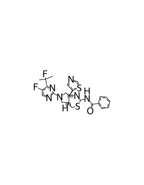 CC(C)(F)c1nc(N2C[C@H]3CSC(NC(=O)c4ccccc4)=N[C@@]3(c3cncs3)C2)ncc1F